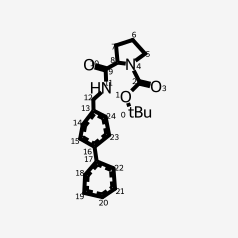 CC(C)(C)OC(=O)N1CCCC1C(=O)NCc1ccc(-c2ccccc2)cc1